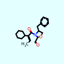 CC=C(C(=O)N1C(Cc2ccccc2)COC1C=O)C1CCCCC1